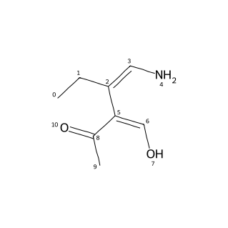 CCC(=C/N)/C(=C/O)C(C)=O